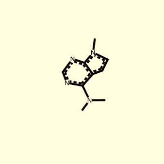 CN(C)c1ncnc2c1ccn2C